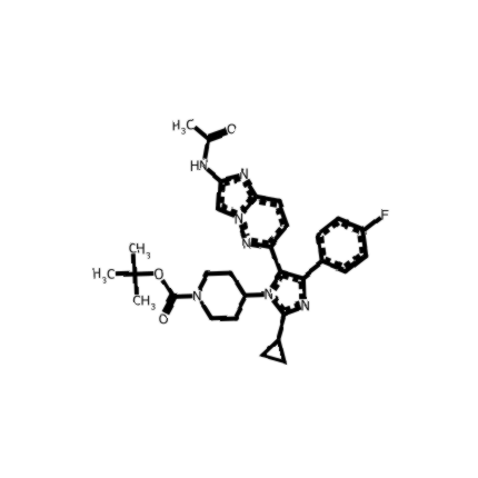 CC(=O)Nc1cn2nc(-c3c(-c4ccc(F)cc4)nc(C4CC4)n3C3CCN(C(=O)OC(C)(C)C)CC3)ccc2n1